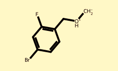 [CH2-][OH+]Cc1ccc(Br)cc1F